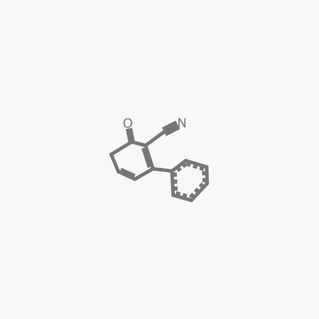 N#CC1=C(c2ccccc2)C=CCC1=O